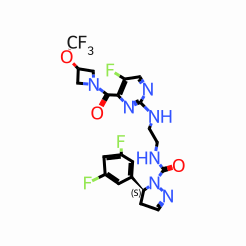 O=C(c1nc(NCCNC(=O)N2N=CC[C@H]2c2cc(F)cc(F)c2)ncc1F)N1CC(OC(F)(F)F)C1